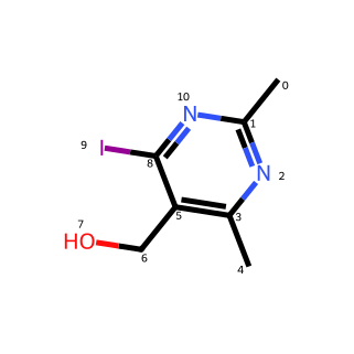 Cc1nc(C)c(CO)c(I)n1